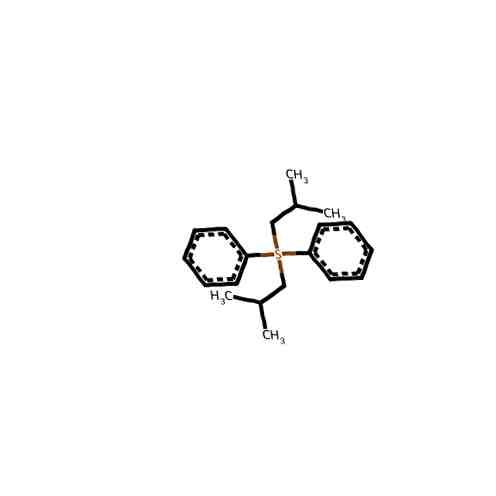 CC(C)CS(CC(C)C)(c1ccccc1)c1ccccc1